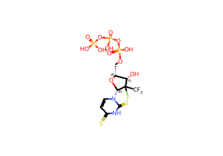 O=P(O)(O)OP(=O)(O)OP(=O)(O)OC[C@H]1O[C@@H](n2ccc(=S)[nH]c2=S)C(F)(C(F)(F)F)[C@H]1O